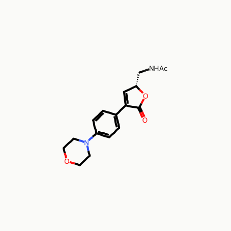 CC(=O)NC[C@H]1C=C(c2ccc(N3CCOCC3)cc2)C(=O)O1